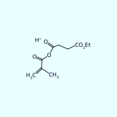 C=C(C)C(=O)OC(=O)CCC(=O)OCC.[H+]